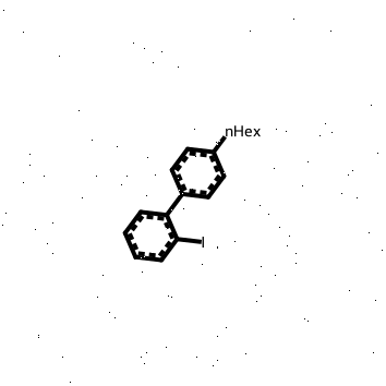 CCCCCCc1ccc(-c2ccccc2I)cc1